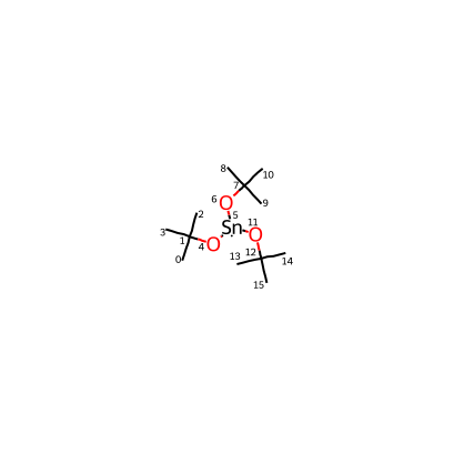 CC(C)(C)[O][Sn]([O]C(C)(C)C)[O]C(C)(C)C